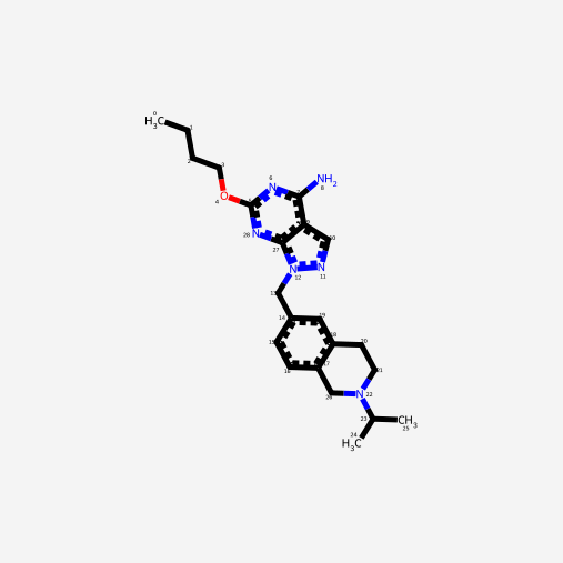 CCCCOc1nc(N)c2cnn(Cc3ccc4c(c3)CCN(C(C)C)C4)c2n1